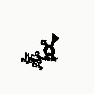 CC(C)(C)OC(=O)Nc1cc(Cl)c(C2CC2)nc1Br